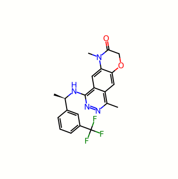 Cc1nnc(N[C@H](C)c2cccc(C(F)(F)F)c2)c2cc3c(cc12)OCC(=O)N3C